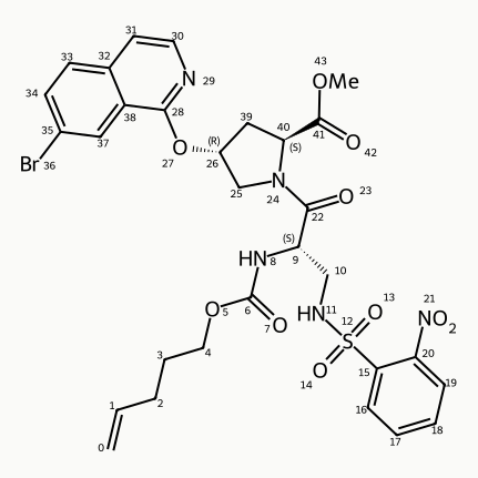 C=CCCCOC(=O)N[C@@H](CNS(=O)(=O)c1ccccc1[N+](=O)[O-])C(=O)N1C[C@H](Oc2nccc3ccc(Br)cc23)C[C@H]1C(=O)OC